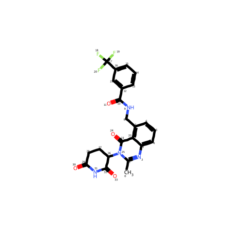 Cc1nc2cccc(CNC(=O)c3cccc(C(F)(F)F)c3)c2c(=O)n1C1CCC(=O)NC1=O